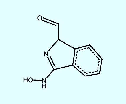 O=CC1N=C(NO)c2ccccc21